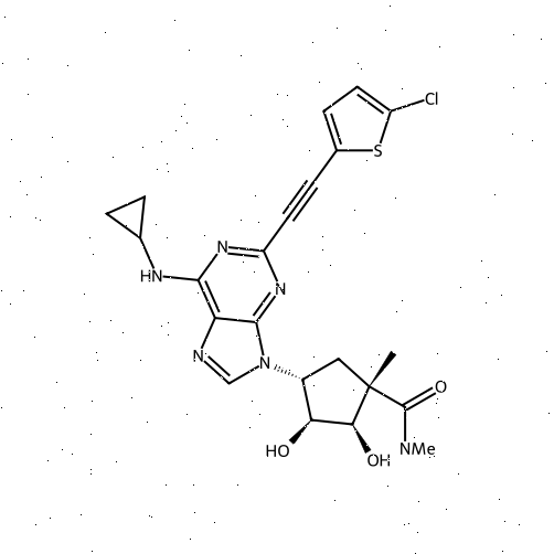 CNC(=O)[C@@]1(C)C[C@@H](n2cnc3c(NC4CC4)nc(C#Cc4ccc(Cl)s4)nc32)[C@H](O)[C@@H]1O